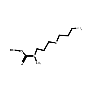 CN(CCCOCCCN)C(=O)OC(C)(C)C